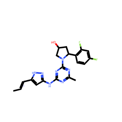 C/C=C/c1cc(Nc2nc(C)nc(N3CC(O)CC3c3ccc(F)cc3F)n2)n[nH]1